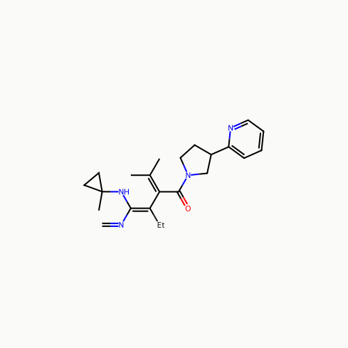 C=N/C(NC1(C)CC1)=C(\CC)C(C(=O)N1CCC(c2ccccn2)C1)=C(C)C